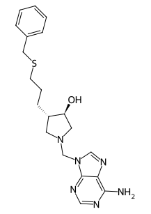 Nc1ncnc2c1ncn2CN1C[C@H](CCCSCc2ccccc2)[C@@H](O)C1